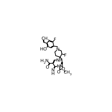 C=Cc1cc(F)c(CN2CCC(CC#N)(N/C=C(\C(=N)NC(=O)OC)C(N)=O)C(F)C2)cc1O